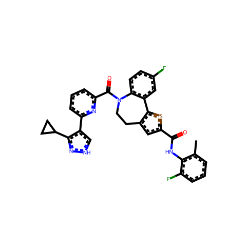 Cc1cccc(F)c1NC(=O)c1cc2c(s1)-c1cc(F)ccc1N(C(=O)c1cccc(-c3c[nH]nc3C3CC3)n1)CC2